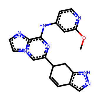 COc1cc(Nc2nc(C3C=Cc4cn[nH]c4C3)cn3ccnc23)ccn1